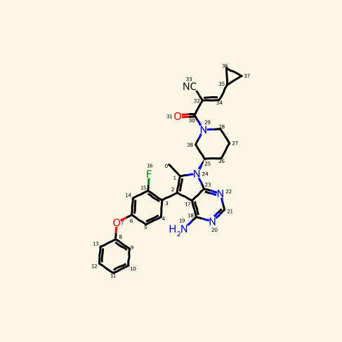 Cc1c(-c2ccc(Oc3ccccc3)cc2F)c2c(N)ncnc2n1[C@@H]1CCCN(C(=O)C(C#N)=CC2CC2)C1